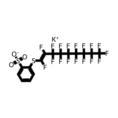 O=S(=O)([O-])c1ccccc1SC(F)=C(F)C(F)(F)C(F)(F)C(F)(F)C(F)(F)C(F)(F)C(F)(F)C(F)(F)F.[K+]